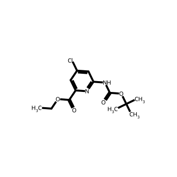 CCOC(=O)c1cc(Cl)cc(NC(=O)OC(C)(C)C)n1